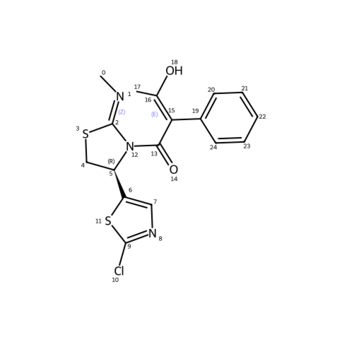 C/N=C1\SC[C@H](c2cnc(Cl)s2)N1C(=O)/C(=C(\C)O)c1ccccc1